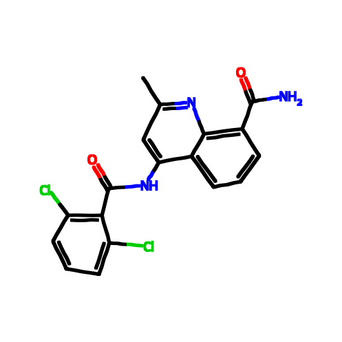 Cc1cc(NC(=O)c2c(Cl)cccc2Cl)c2cccc(C(N)=O)c2n1